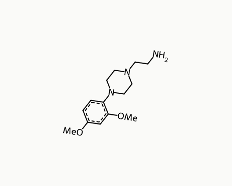 COc1ccc(N2CCN(CCN)CC2)c(OC)c1